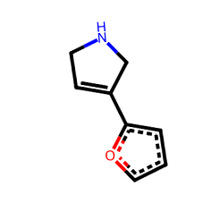 C1=C(c2ccco2)CNC1